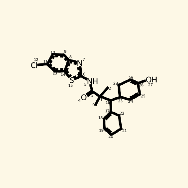 CC(C)(C(=O)Nc1nc2ccc(Cl)cc2s1)C(C1=CC=CCC1)C1C=CC(O)=CC1